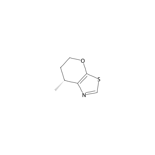 C[C@@H]1CCOc2scnc21